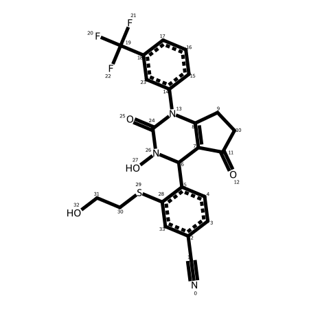 N#Cc1ccc(C2C3=C(CCC3=O)N(c3cccc(C(F)(F)F)c3)C(=O)N2O)c(SCCO)c1